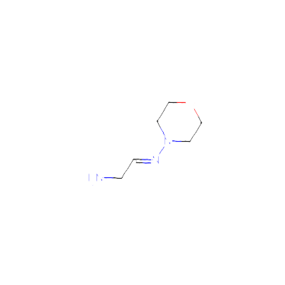 NCC=NN1CCOCC1